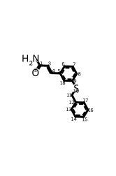 NC(=O)C=Cc1cccc(SCc2ccccc2)c1